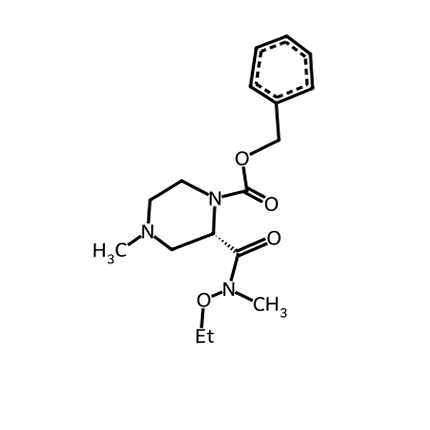 CCON(C)C(=O)[C@@H]1CN(C)CCN1C(=O)OCc1ccccc1